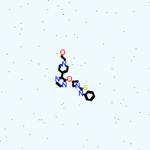 O=CCN1CC=C(c2nccnc2OC2CN(c3nc4ccccc4s3)C2)CC1